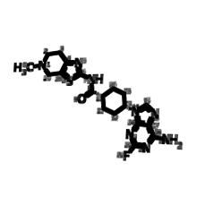 CN1CCc2nc(NC(=O)[C@H]3CC[C@@H](n4cnc5c(N)nc(F)nc54)CC3)sc2C1